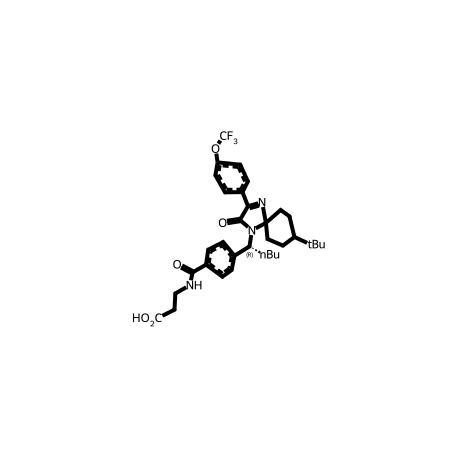 CCCC[C@H](c1ccc(C(=O)NCCC(=O)O)cc1)N1C(=O)C(c2ccc(OC(F)(F)F)cc2)=NC12CCC(C(C)(C)C)CC2